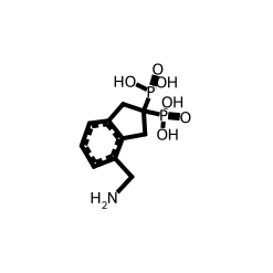 NCc1cccc2c1CC(P(=O)(O)O)(P(=O)(O)O)C2